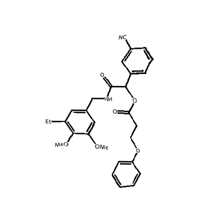 CCc1cc(CNC(=O)C(OC(=O)CCOc2ccccc2)c2cccc(C#N)c2)cc(OC)c1OC